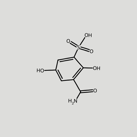 NC(=O)c1cc(O)cc(S(=O)(=O)O)c1O